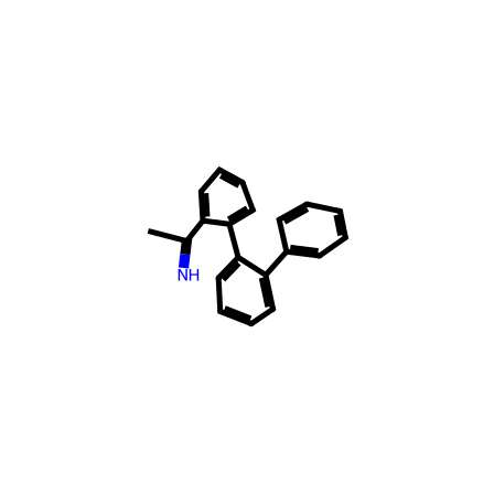 CC(=N)c1ccccc1-c1ccccc1-c1ccccc1